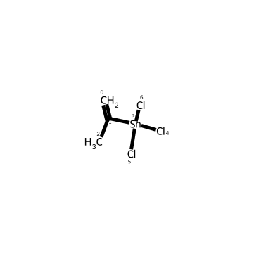 C=[C](C)[Sn]([Cl])([Cl])[Cl]